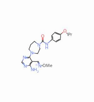 CO/N=C/c1c(N)ncnc1N1CCCN(C(=O)Nc2ccc(OC(C)C)cc2)CC1